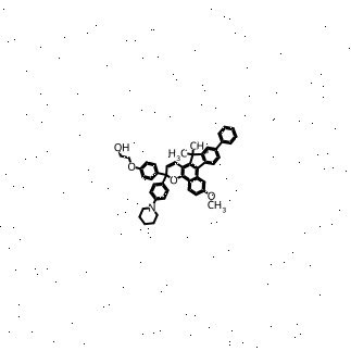 COc1ccc2c3c(c4c(c2c1)-c1ccc(-c2ccccc2)cc1C4(C)C)C=CC(c1ccc(OCCO)cc1)(c1ccc(N2CCCCC2)cc1)O3